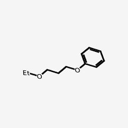 [CH2]COCCCOc1ccccc1